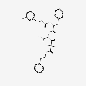 CC(C)C(NC(=O)C(Cc1ccccc1)NC(=O)COc1cccc(Cl)c1)C(=O)C(F)(F)C(=O)NCCc1ccccc1